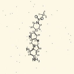 CC(C)(C)OC(=O)N1CCC(c2cnc(Cn3ccc4cc(N)cc(F)c43)c(F)c2)CC1